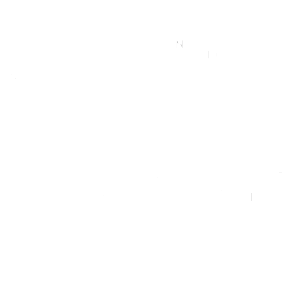 CCN(CC)c1ccc2c(C)cc(=O)oc2c1.OB(O)c1ccc2ccc3cccc4ccc1c2c34